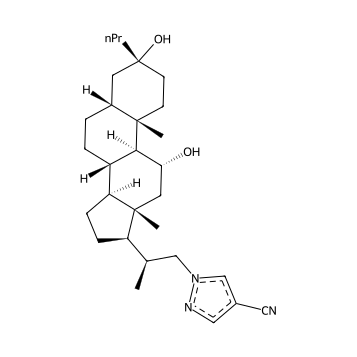 CCC[C@@]1(O)CC[C@@]2(C)[C@H](CC[C@@H]3[C@@H]2[C@H](O)C[C@]2(C)[C@@H]([C@H](C)Cn4cc(C#N)cn4)CC[C@@H]32)C1